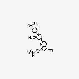 CNC1CC(n2cc(C#N)c3ccc(N4CCN(c5ccc(C(C)=O)cc5)[C@H](C)C4)nc32)C1